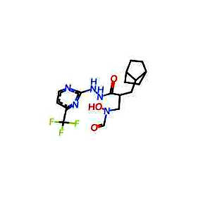 O=CN(O)CC(CC1C2CCC1CC2)C(=O)NNc1nccc(C(F)(F)F)n1